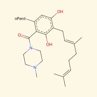 CCCCCc1cc(O)c(C/C=C(\C)CCC=C(C)C)c(O)c1C(=O)N1CCN(C)CC1